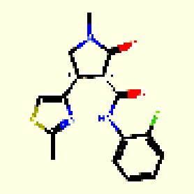 Cc1nc([C@H]2CN(C)C(=O)[C@@H]2C(=O)Nc2ccccc2F)cs1